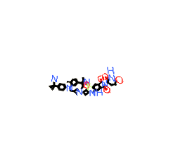 Cc1ccc(-c2c(C)noc2C)cc1N(CC1CN(C2CC(Nc3cc4c(cc3F)C(=O)N([C@@H]3CCC(=O)NC3=O)C4=O)C2)C1)c1ccc(C2(C#N)CC2)cc1